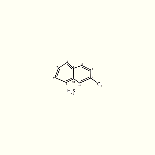 S.[O]c1ccc2ccccc2c1